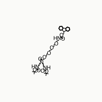 CC(C)(C)OC(=O)NCCN(CCNC(=O)OC(C)(C)C)C(=O)COCCOCCOCCOCCNC(=O)OCC1c2ccccc2-c2ccccc21